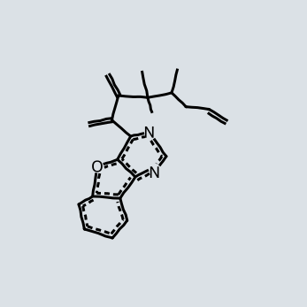 C=CCC(C)C(C)(C)C(=C)C(=C)c1ncnc2c1oc1ccccc12